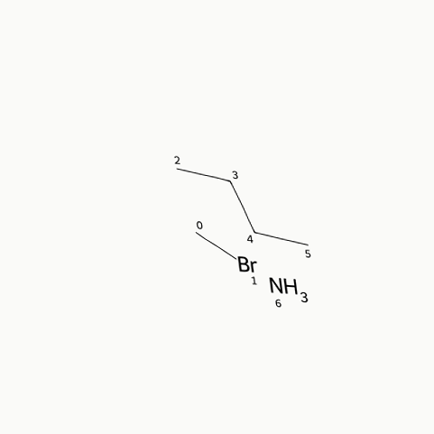 CBr.CCCC.N